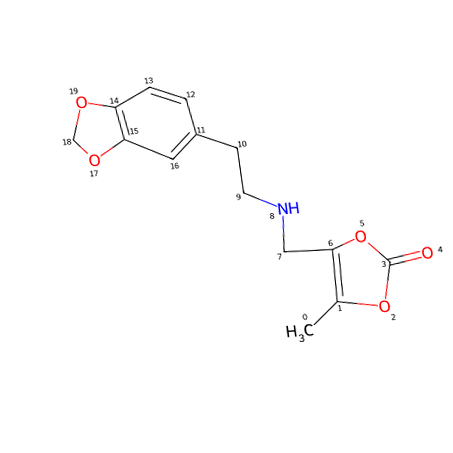 Cc1oc(=O)oc1CNCCc1ccc2c(c1)OCO2